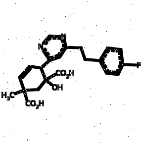 CC1(C(=O)O)C=CC(c2cc(CCc3ccc(F)cc3)ncn2)C(O)(C(=O)O)C1